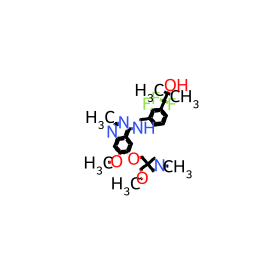 COCC1(COc2cc3c(NCc4cccc(C(F)(F)C(C)(C)O)c4F)nc(C)nc3cc2OC)CN(C)C1